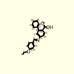 CCOc1ccc(C=Nc2ccc(C(=O)O)c(-c3ccccc3)c2)cc1